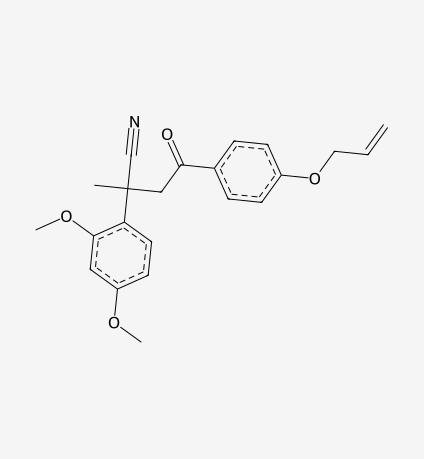 C=CCOc1ccc(C(=O)CC(C)(C#N)c2ccc(OC)cc2OC)cc1